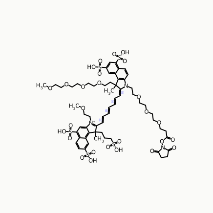 COCCOCCOCCOCCC1(C)\C(=C/C=C/C=C/C=C/C2=[N+](CCOC)c3cc(S(=O)(=O)O)c4ccc(S(=O)(=O)O)cc4c3C2(C)CCCS(=O)(=O)O)N(CCOCCOCCOCCC(=O)ON2C(=O)CCC2=O)c2ccc3c(S(=O)(=O)O)cc(S(=O)(=O)O)cc3c21